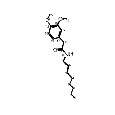 CCCCCCCCNC(=O)Cc1ccc(OC)c(OC)c1